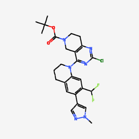 Cn1cc(-c2cc3c(cc2C(F)F)N(c2nc(Cl)nc4c2CN(C(=O)OC(C)(C)C)CC4)CCC3)cn1